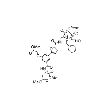 CCCCC[C@@H](C(=O)NCNC(=O)c1ccc(-c2cc(OCC(=O)OC)cc(C(=O)N[C@@H](CC(=O)OC)C(=O)OC)c2)o1)[C@@H](CC)N(C=O)OCc1ccccc1